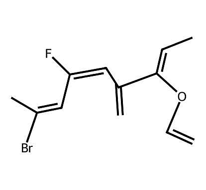 C=CO/C(=C\C)C(=C)/C=C(F)\C=C(/C)Br